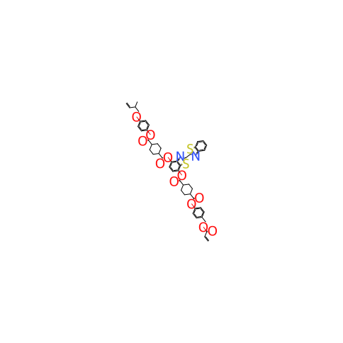 C=CC(=O)OCc1ccc(OC(=O)C2CCC(C(=O)Oc3ccc(OC(=O)C4CCC(C(=O)Oc5ccc(OCC(C)C=C)cc5)CC4)c4nc(-c5nc6ccccc6s5)sc34)CC2)cc1